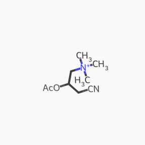 CC(=O)OC(CC#N)C[N+](C)(C)C